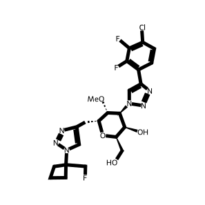 CO[C@@H]1[C@@H](n2cc(-c3ccc(Cl)c(F)c3F)nn2)[C@@H](O)[C@@H](CO)O[C@@H]1Cc1cn(C2(CF)CCC2)nn1